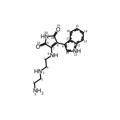 NCCNCCNC1=C(c2c[nH]c3ccccc23)C(=O)NC1=O